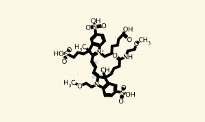 COCCNC(=O)CCCC1(C)/C(=C\C=C\C2=[N+](CCCCCC(=O)O)c3ccc(S(=O)(=O)O)cc3C2(C)CCCS(=O)(=O)O)N(CCOC)c2ccc(S(=O)(=O)O)cc21